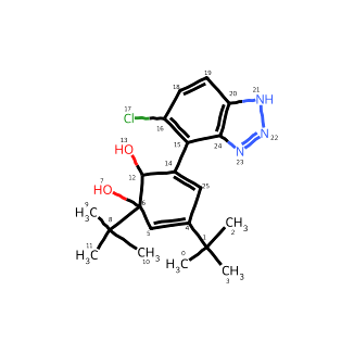 CC(C)(C)C1=CC(O)(C(C)(C)C)C(O)C(c2c(Cl)ccc3[nH]nnc23)=C1